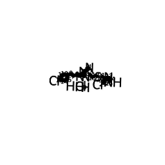 Cl.N#CN=C(NCC=Cc1ccc(Cl)cc1)NCCCSCc1nc[nH]c1Cl